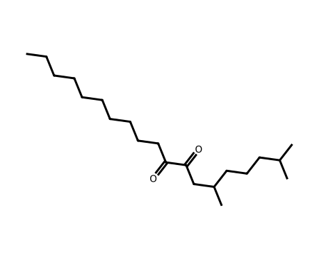 CCCCCCCCCCC(=O)C(=O)CC(C)CCCC(C)C